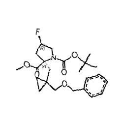 COC(=O)[C@@]1(CC2(COCc3ccccc3)CC2)C[C@@H](F)CN1C(=O)OC(C)(C)C